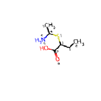 CCC(SC(C)N)C(=O)O